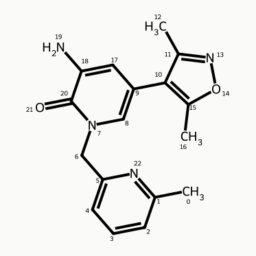 Cc1cccc(Cn2cc(-c3c(C)noc3C)cc(N)c2=O)n1